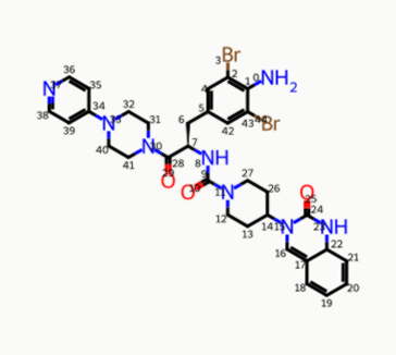 Nc1c(Br)cc(C[C@@H](NC(=O)N2CCC(N3C=C4C=CC=CC4NC3=O)CC2)C(=O)N2CCN(c3ccncc3)CC2)cc1Br